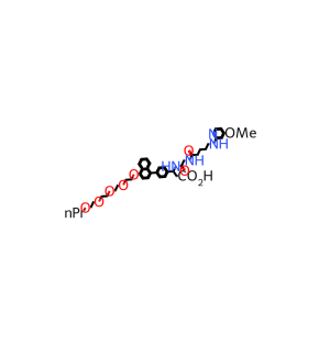 CCCOCCOCCOCCOCCOc1ccc(-c2ccc(C(CC(=O)O)NC(=O)CNC(=O)CCCCNc3cc(OC)ccn3)cc2)c2ccccc12